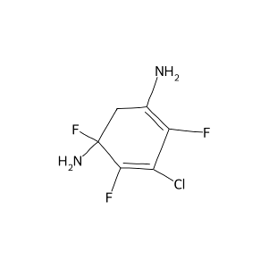 NC1=C(F)C(Cl)=C(F)C(N)(F)C1